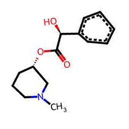 CN1CCC[C@H](OC(=O)[C@@H](O)c2ccccc2)C1